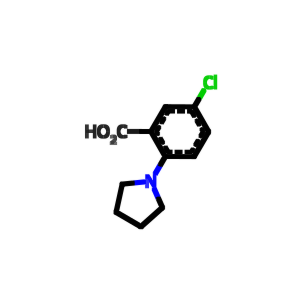 O=C(O)c1cc(Cl)ccc1N1CCCC1